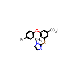 CC(C)c1ccc(Oc2cc(Sc3nccn3C)cc(C(=O)O)c2)cc1